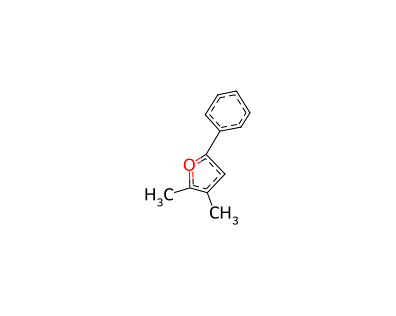 Cc1cc(-c2ccccc2)oc1C